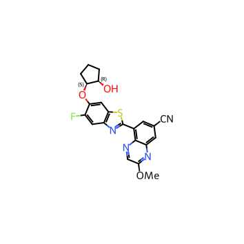 COc1cnc2c(-c3nc4cc(F)c(O[C@H]5CCC[C@H]5O)cc4s3)cc(C#N)cc2n1